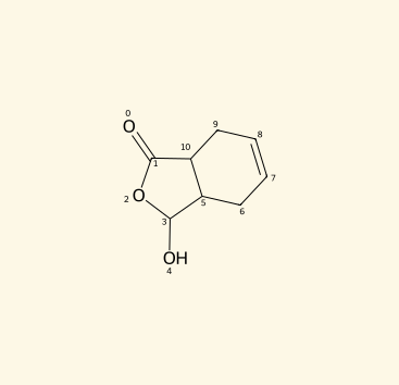 O=C1OC(O)C2CC=CCC12